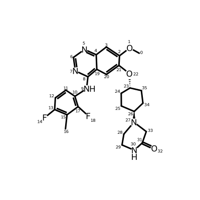 COc1cc2ncnc(Nc3ccc(F)c(C)c3F)c2cc1O[C@H]1CC[C@H](N2CCNC(=O)C2)CC1